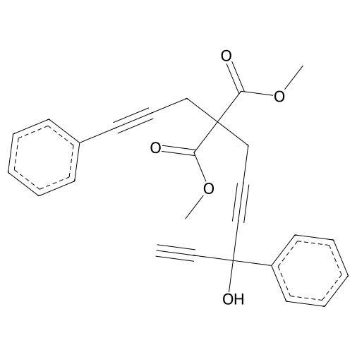 C#CC(O)(C#CCC(CC#Cc1ccccc1)(C(=O)OC)C(=O)OC)c1ccccc1